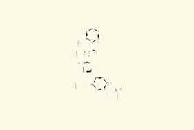 Cc1cc2c(cc1-c1cnc(NC(=O)c3ccccc3F)s1)OC(F)(F)O2